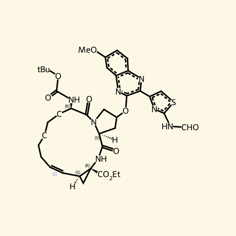 CCOC(=O)[C@@]12C[C@H]1/C=C\CCCCC[C@@H](NC(=O)OC(C)(C)C)C(=O)N1CC(Oc3nc4cc(OC)ccc4nc3-c3csc(NC=O)n3)C[C@H]1C(=O)N2